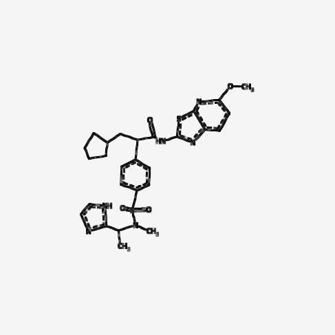 COc1ccc2nc(NC(=O)C(CC3CCCC3)c3ccc(S(=O)(=O)N(C)C(C)c4ncc[nH]4)cc3)sc2n1